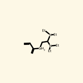 C=CC(=C)[SiH2]CC(N(CC)CC)N(CC)CC